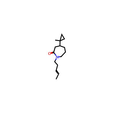 CC=CCCN1CCCC(C2(C)CC2)CC1=O